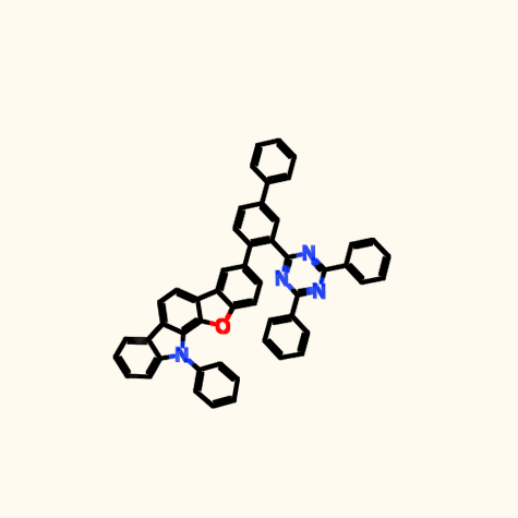 c1ccc(-c2ccc(-c3ccc4oc5c(ccc6c7ccccc7n(-c7ccccc7)c65)c4c3)c(-c3nc(-c4ccccc4)nc(-c4ccccc4)n3)c2)cc1